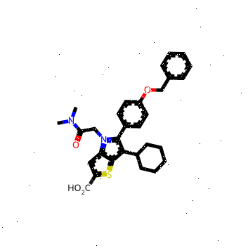 CN(C)C(=O)Cn1c(-c2ccc(OCc3ccccc3)cc2)c(C2CCCCC2)c2sc(C(=O)O)cc21